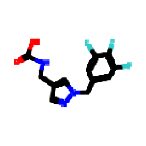 O=C(O)NCc1cnn(Cc2cc(F)c(F)c(F)c2)c1